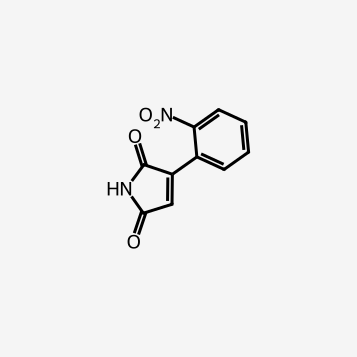 O=C1C=C(c2ccccc2[N+](=O)[O-])C(=O)N1